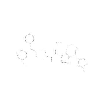 COC1CN=C(n2cnc(C)n2)c2[nH]cc(C(=O)C(=O)N3CCC(=C(c4ccccc4)c4cncc(C)c4)CC3)c21